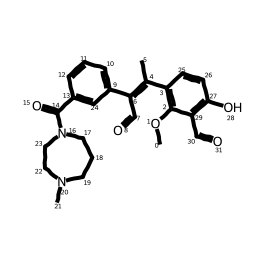 COc1c(/C(C)=C(\C=O)c2cccc(C(=O)N3CCCN(C)CC3)c2)ccc(O)c1C=O